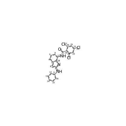 O=C(Nc1cccc2sc(Nc3ccccc3)nc12)c1c(Cl)cc(Cl)cc1Cl